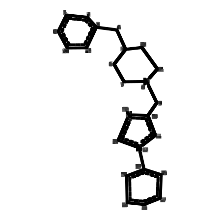 c1ccc(CC2CCN(Cc3cn(-c4ccccc4)cn3)CC2)cc1